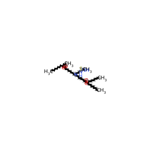 CCCCCCCCC(CCC)OC(=O)CCCCCCCN(CCCCCCCC(=O)OC(CCCCCCCC)CCCCCCCC)CCCNC(=S)NC